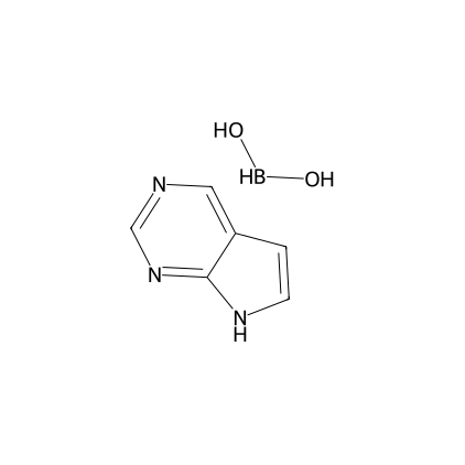 OBO.c1ncc2cc[nH]c2n1